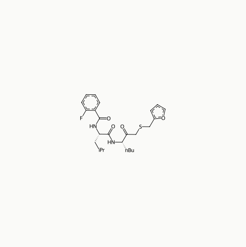 CCCC[C@H](NC(=O)[C@H](CC(C)C)NC(=O)c1ccccc1F)C(=O)CSCc1ccco1